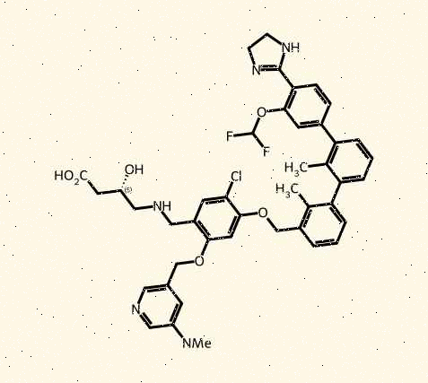 CNc1cncc(COc2cc(OCc3cccc(-c4cccc(-c5ccc(C6=NCCN6)c(OC(F)F)c5)c4C)c3C)c(Cl)cc2CNC[C@@H](O)CC(=O)O)c1